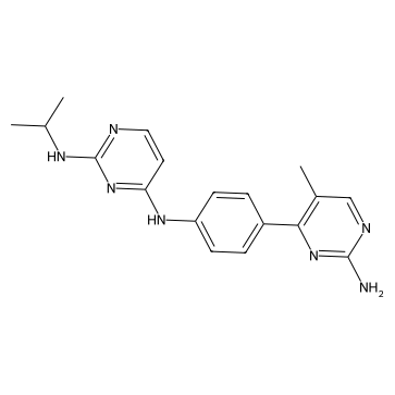 Cc1cnc(N)nc1-c1ccc(Nc2ccnc(NC(C)C)n2)cc1